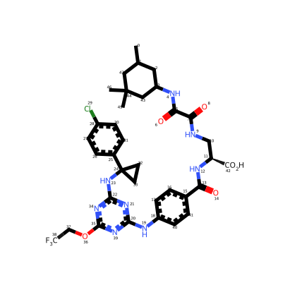 CC1CC(NC(=O)C(=O)NC[C@H](NC(=O)c2ccc(Nc3nc(NC4(c5ccc(Cl)cc5)CC4)nc(OCC(F)(F)F)n3)cc2)C(=O)O)CC(C)(C)C1